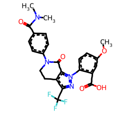 COc1ccc(-n2nc(C(F)(F)F)c3c2C(=O)N(c2ccc(C(=O)N(C)C)cc2)CC3)c(C(=O)O)c1